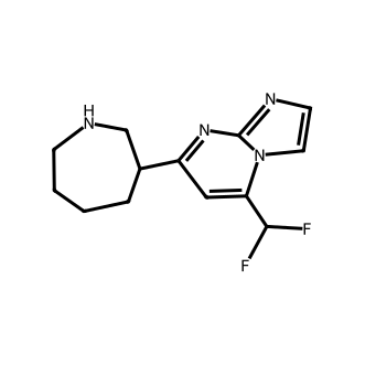 FC(F)c1cc(C2CCCCNC2)nc2nccn12